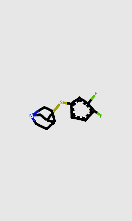 Fc1ccc(SC2CN3CCC2CC3)cc1F